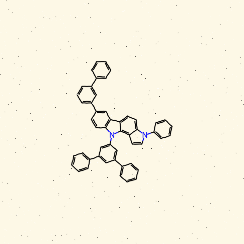 c1ccc(-c2cccc(-c3ccc4c(c3)c3ccc5c(ccn5-c5ccccc5)c3n4-c3cc(-c4ccccc4)cc(-c4ccccc4)c3)c2)cc1